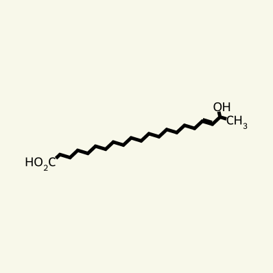 CC(O)/C=C/CCCCCCCCCCCCCCCCC(=O)O